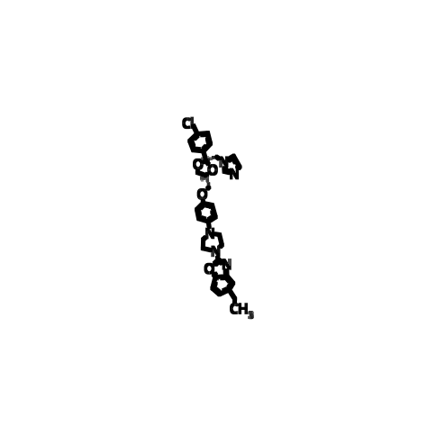 CCc1ccc2oc(N3CCN(c4ccc(OC[C@@H]5CO[C@@](Cn6ccnc6)(c6ccc(Cl)cc6)O5)cc4)CC3)nc2c1